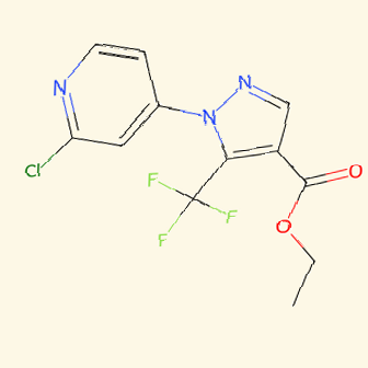 CCOC(=O)c1cnn(-c2ccnc(Cl)c2)c1C(F)(F)F